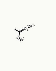 CC(=O)[O-].[Br-].[Zn+2]